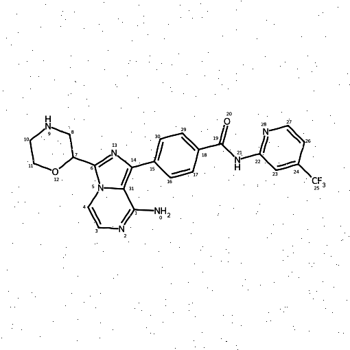 Nc1nccn2c(C3CNCCO3)nc(-c3ccc(C(=O)Nc4cc(C(F)(F)F)ccn4)cc3)c12